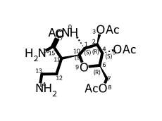 CC(=O)N[C@@H]1[C@@H](OC(C)=O)[C@H](OC(C)=O)[C@@H](COC(C)=O)O[C@H]1C(CCN)C(N)=O